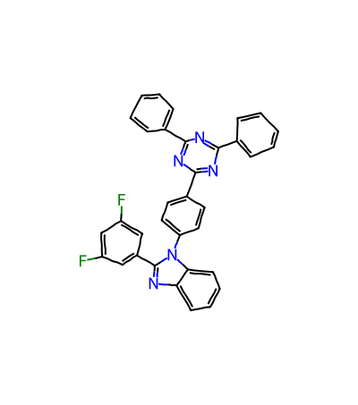 Fc1cc(F)cc(-c2nc3ccccc3n2-c2ccc(-c3nc(-c4ccccc4)nc(-c4ccccc4)n3)cc2)c1